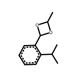 CC1OC(c2ccccc2C(C)C)O1